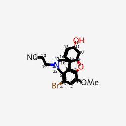 COc1cc(Br)c2c3c1OC1C[C@@H](O)C=CC31CCN(CCC#N)C2